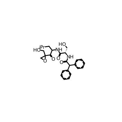 CC(C)CC(NC(=O)[C@H](CO)NC(=O)C(c1ccccc1)c1ccccc1)C(=O)C1(CO)CO1